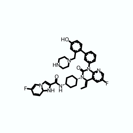 CC=C1c2cc(F)cnc2N(c2cccc(-c3ccc(O)cc3CN3CCNCC3)c2)C(=O)N1[C@H]1CC[C@@H](NC(=O)C2=CN3C=C(F)C=CC3N2)CC1